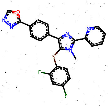 Cn1c(-c2ccccn2)nc(-c2ccc(-c3nnco3)cc2)c1Sc1ccc(F)cc1F